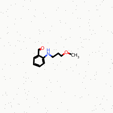 COCCCNc1ccccc1C=O